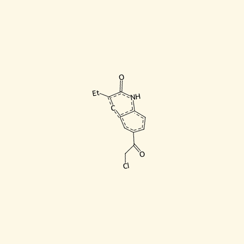 CCc1cc2cc(C(=O)CCl)ccc2[nH]c1=O